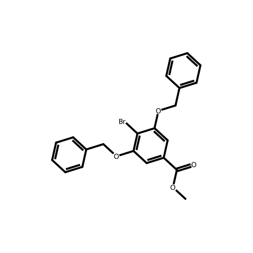 COC(=O)c1cc(OCc2ccccc2)c(Br)c(OCc2ccccc2)c1